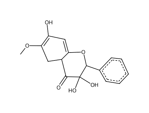 COC1=C(O)C=C2OC(c3ccccc3)C(O)(O)C(=O)C2C1